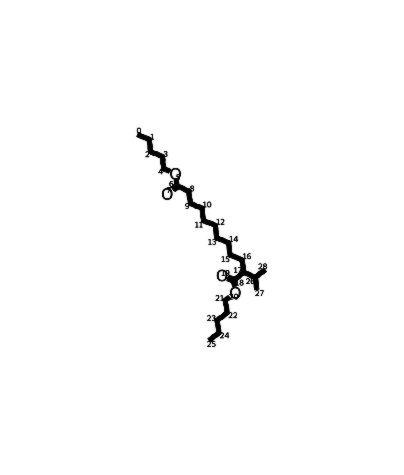 CCCCCOC(=O)CCCCCCCCCC(C(=O)OCCCCC)C(C)C